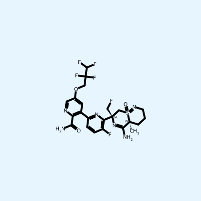 C[C@@]12CCCN=S1(=O)C[C@@](CF)(c1nc(-c3cc(OCC(F)(F)C(F)F)cnc3C(N)=O)ccc1F)N=C2N